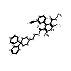 COC(=O)C1=C(C)NC(C)=C(C(=O)OCCN2CCC(c3ccccc3)(c3ccccc3)CC2)C1c1cccc(C#N)c1